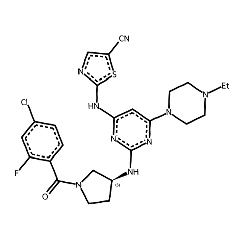 CCN1CCN(c2cc(Nc3ncc(C#N)s3)nc(N[C@H]3CCN(C(=O)c4ccc(Cl)cc4F)C3)n2)CC1